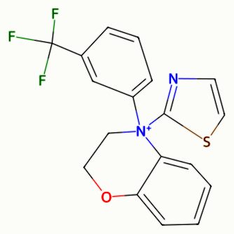 FC(F)(F)c1cccc([N+]2(c3nccs3)CCOc3ccccc32)c1